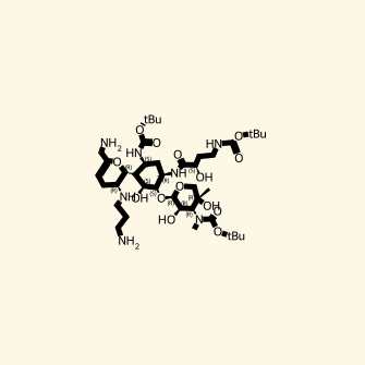 CN(C(=O)OC(C)(C)C)[C@@H]1[C@@H](O)[C@@H](O[C@H]2[C@H](NC(=O)[C@@H](O)CCNC(=O)OC(C)(C)C)C[C@H](NC(=O)OC(C)(C)C)C([C@H]3OC(CN)=CC[C@H]3NCCCN)[C@@H]2O)OC[C@]1(C)O